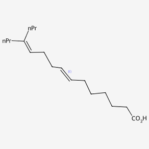 CCCC(=CCC/C=C/CCCCCC(=O)O)CCC